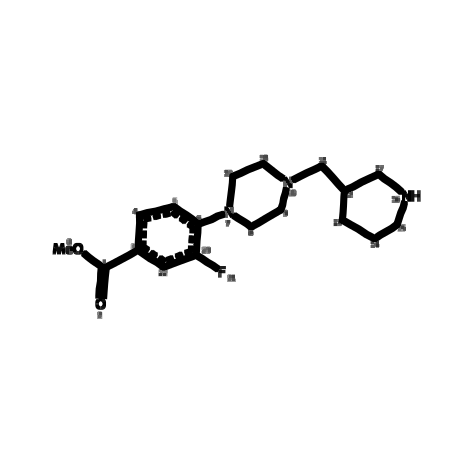 COC(=O)c1ccc(N2CCN(CC3CCCNC3)CC2)c(F)c1